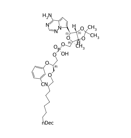 CCCCCCCCCCCCCCCCCCOC[C@H](COP(=O)(O)OC[C@@]1(C)O[C@@H](c2ccc3c(N)ncnn23)[C@@H]2OC(C)(C)O[C@@H]21)Oc1cccc(C#N)c1